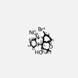 CC1(C)Oc2ccc(Br)cc2[C@H](N2CCSC2=NC#N)[C@H]1O